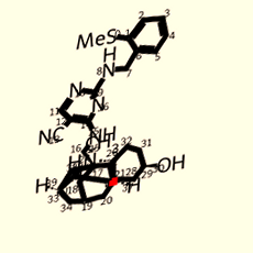 CSc1ccccc1CNc1ncc(C#N)c(NC[C@]23CC4C[C@H](C2)[C@@H](N(C)[C@H]2CC[C@H](O)CC2)[C@@H](C4)C3)n1